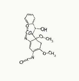 COC1=C(N=C=O)C=C(N=C=O)C(OC)(C(=O)C(O)c2ccccc2)C1